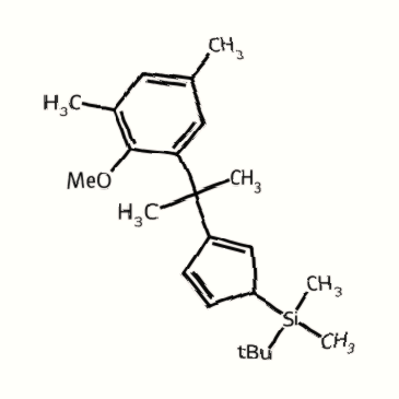 COc1c(C)cc(C)cc1C(C)(C)C1=CC([Si](C)(C)C(C)(C)C)C=C1